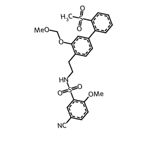 COCOc1cc(-c2ccccc2S(C)(=O)=O)ccc1CCNS(=O)(=O)c1cc(C#N)ccc1OC